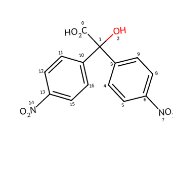 O=C(O)C(O)(c1ccc([N+](=O)[O-])cc1)c1ccc([N+](=O)[O-])cc1